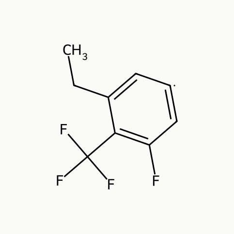 CCc1c[c]cc(F)c1C(F)(F)F